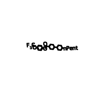 CCCCCC1CCC(C2CCC(C(=O)Oc3ccc(OC(F)(F)F)cc3)CC2)CC1